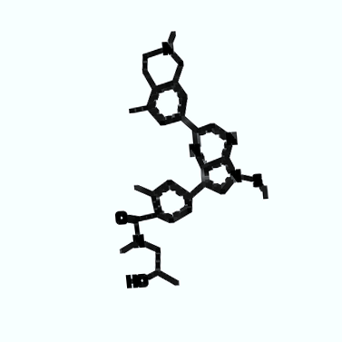 Cc1cc(-c2cn(SI)c3ncc(-c4cc(C)c5c(c4)CN(C)CC5)nc23)ccc1C(=O)N(C)CC(C)O